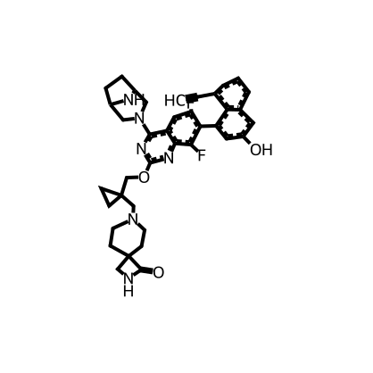 C#Cc1cccc2cc(O)cc(-c3c(F)cc4c(N5CC6CCC(C5)N6)nc(OCC5(CN6CCC7(CC6)CNC7=O)CC5)nc4c3F)c12